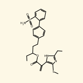 C=C(C(=O)OC(CC)CCc1ccc(-c2ccccc2S(N)(=O)=O)cc1)c1[nH]c(CC)nc1SC